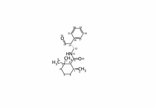 C[C@H]1CCCC(C)(C)C1C(=O)NC[C@H](C=O)c1ccccc1